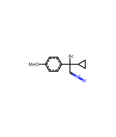 COc1ccc(C(C=[N+]=[N-])(C(C)=O)C2CC2)cc1